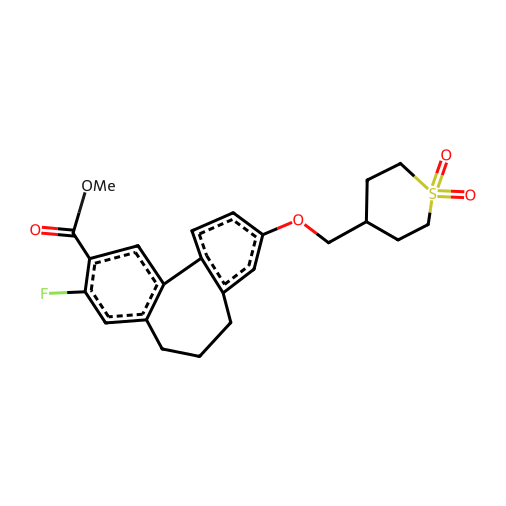 COC(=O)c1cc2c(cc1F)CCCc1cc(OCC3CCS(=O)(=O)CC3)ccc1-2